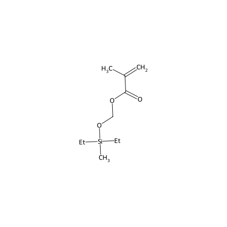 C=C(C)C(=O)OCO[Si](C)(CC)CC